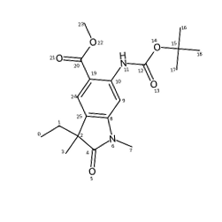 CCC1(C)C(=O)N(C)c2cc(NC(=O)OC(C)(C)C)c(C(=O)OC)cc21